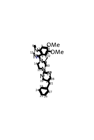 C=Nc1cc(OC)c(OC)cc1/C(=N\C)N1CCN(c2ncc(Cc3ccccc3)cn2)C[C@@H]1C